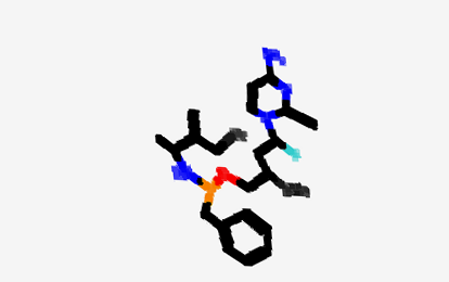 C=C(CC(C)C)C(C)NP(Cc1ccccc1)OCC(CC(F)N1C=CC(N)=NC1=C)SC